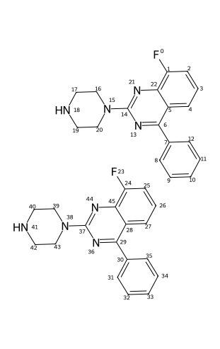 Fc1cccc2c(-c3ccccc3)nc(N3CCNCC3)nc12.Fc1cccc2c(-c3ccccc3)nc(N3CCNCC3)nc12